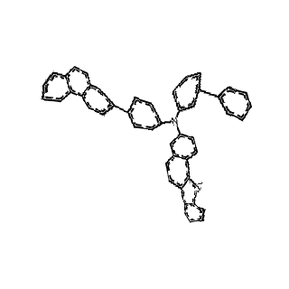 c1ccc(-c2cccc(N(c3ccc(-c4ccc5c(ccc6ccccc65)c4)cc3)c3ccc4c(ccc5c6ccccc6sc45)c3)c2)cc1